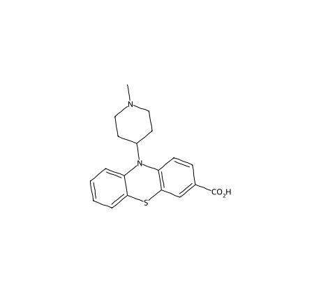 CN1CCC(N2c3ccccc3Sc3cc(C(=O)O)ccc32)CC1